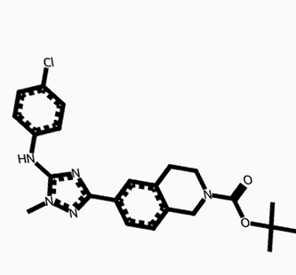 Cn1nc(-c2ccc3c(c2)CCN(C(=O)OC(C)(C)C)C3)nc1Nc1ccc(Cl)cc1